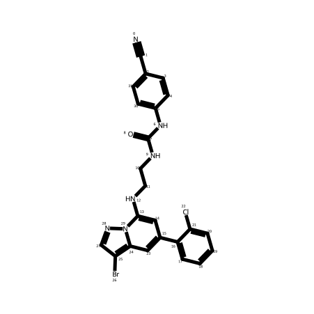 N#Cc1ccc(NC(=O)NCCNc2cc(-c3ccccc3Cl)cc3c(Br)cnn23)cc1